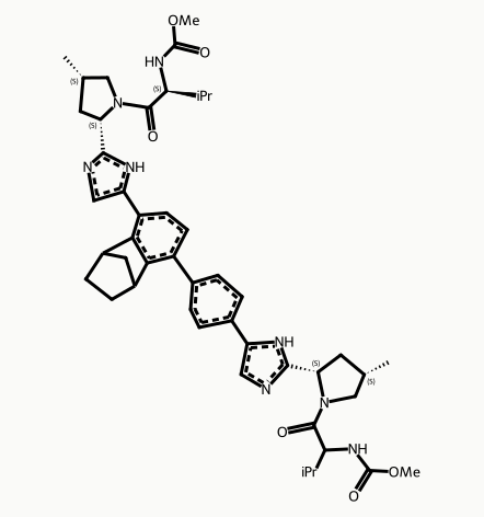 COC(=O)NC(C(=O)N1C[C@@H](C)C[C@H]1c1ncc(-c2ccc(-c3ccc(-c4cnc([C@@H]5C[C@H](C)CN5C(=O)[C@@H](NC(=O)OC)C(C)C)[nH]4)c4c3C3CCC4C3)cc2)[nH]1)C(C)C